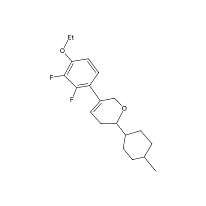 CCOc1ccc(C2=CCC(C3CCC(C)CC3)OC2)c(F)c1F